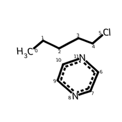 CCCCCCl.c1cnccn1